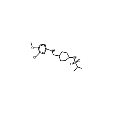 COc1ccc(NCC2CCC(NS(=O)(=O)C(C)C)CC2)cc1Cl